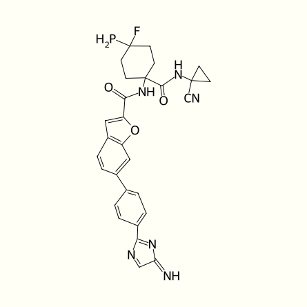 N#CC1(NC(=O)C2(NC(=O)c3cc4ccc(-c5ccc(C6=NC(=N)C=N6)cc5)cc4o3)CCC(F)(P)CC2)CC1